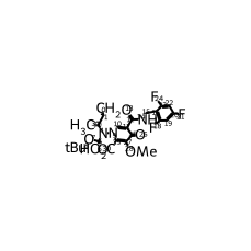 C=C[C@@H](C)N(C(=O)OC(C)(C)C)n1cc(C(=O)NCc2c(F)cc(F)cc2F)c(=O)c(OC)c1C(=O)O